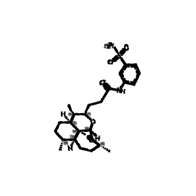 CCCS(=O)(=O)c1cccc(NC(=O)CC[C@H]2O[C@@H]3O[C@]4(C)CC[C@H]5[C@H](C)CC[C@@H]([C@H]2C)[C@@]35OO4)c1